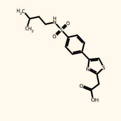 CC(C)CCNS(=O)(=O)c1ccc(-c2csc(CC(=O)O)n2)cc1